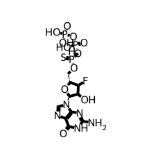 Nc1nc2c(ncn2[C@@H]2O[C@H](CO[PH](=S)OP(=O)(O)OP(=O)(O)O)C(F)C2O)c(=O)[nH]1